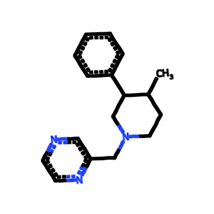 CC1CCN(Cc2cnccn2)CC1c1ccccc1